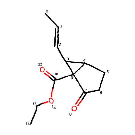 CC=CC1C2CCC(=O)C12C(=O)OCC